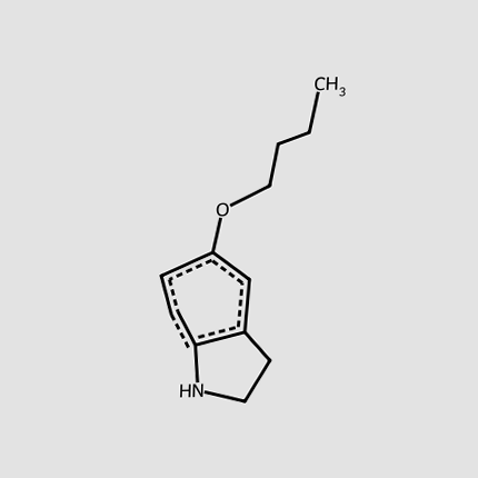 CCCCOc1ccc2c(c1)CCN2